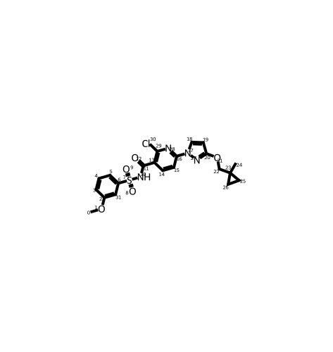 COc1cccc(S(=O)(=O)NC(=O)c2ccc(-n3ccc(OCC4(C)CC4)n3)nc2Cl)c1